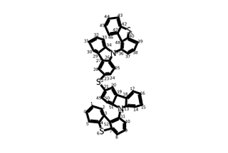 c1ccc2c(c1)sc1cccc(-n3c4ccccc4c4cc(Sc5ccc6c(c5)c5ccccc5n6-c5cccc6sc7ccccc7c56)ccc43)c12